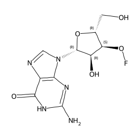 Nc1nc2c(ncn2[C@@H]2O[C@H](CO)[C@@H](OF)[C@H]2O)c(=O)[nH]1